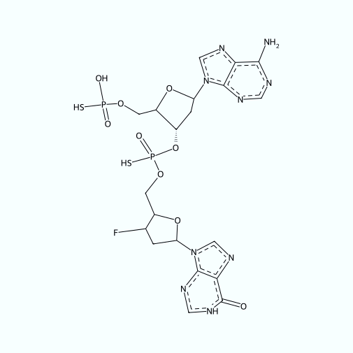 Nc1ncnc2c1ncn2C1C[C@H](OP(=O)(S)OCC2OC(n3cnc4c(=O)[nH]cnc43)CC2F)C(COP(=O)(O)S)O1